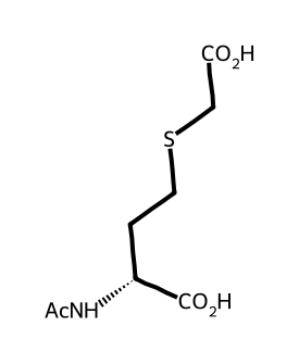 CC(=O)N[C@H](CCSCC(=O)O)C(=O)O